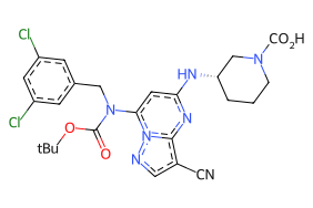 CC(C)(C)OC(=O)N(Cc1cc(Cl)cc(Cl)c1)c1cc(N[C@H]2CCCN(C(=O)O)C2)nc2c(C#N)cnn12